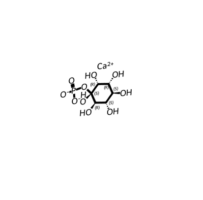 O=P([O-])([O-])O[C@]1(O)[C@H](O)[C@H](O)[C@@H](O)[C@H](O)[C@H]1O.[Ca+2]